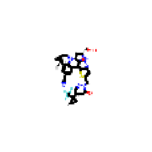 N#Cc1cc(-c2ccnc3cc(Cn4ncc(C5(C(F)(F)F)CC5)cc4=O)sc23)c2c(c1)[C@@H]1C[C@@H]1CN2[C@@H]1CN[C@@H](CO)C1